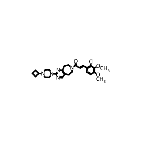 COc1ccc(C=CC(=O)N2CCc3cnc(N4CCN(C5CCC5)CC4)nc3CC2)c(Cl)c1OC